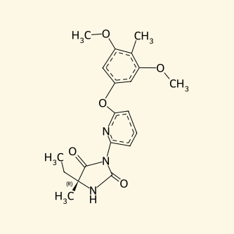 CC[C@@]1(C)NC(=O)N(c2cccc(Oc3cc(OC)c(C)c(OC)c3)n2)C1=O